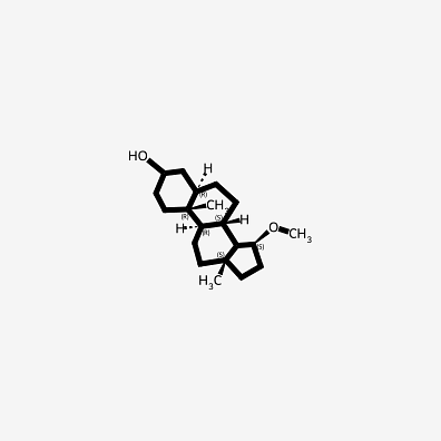 CO[C@H]1CC[C@]2(C)CC[C@@H]3[C@H](CC[C@@H]4CC(O)CC[C@]43C)C12